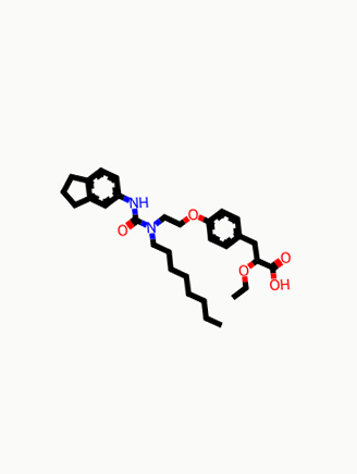 CCCCCCCCN(CCOc1ccc(CC(OCC)C(=O)O)cc1)C(=O)Nc1ccc2c(c1)CCC2